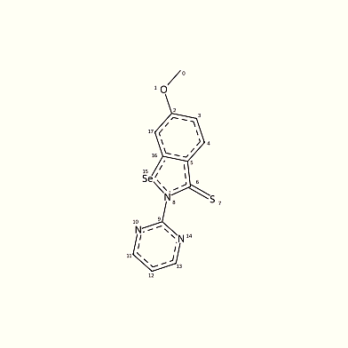 COc1ccc2c(=S)n(-c3ncccn3)[se]c2c1